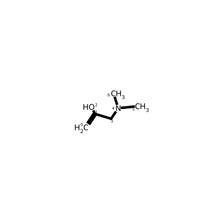 C=C(O)CN(C)C